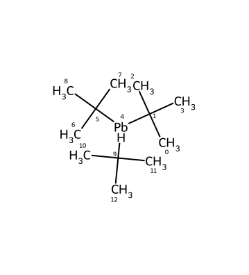 C[C](C)(C)[PbH]([C](C)(C)C)[C](C)(C)C